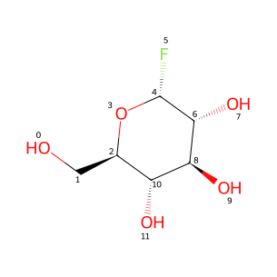 OC[C@H]1O[C@H](F)[C@H](O)[C@@H](O)[C@@H]1O